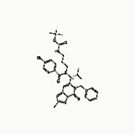 Cc1cc2cc([C@@H](C(C)C)N(CCCNC(=O)OC(C)(C)C)C(=O)c3ccc(Cl)cc3)n(Cc3ccccc3)c(=O)n2n1